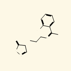 C/C(=N/CCC[C@@H]1C=NNC1=O)c1ccccc1O